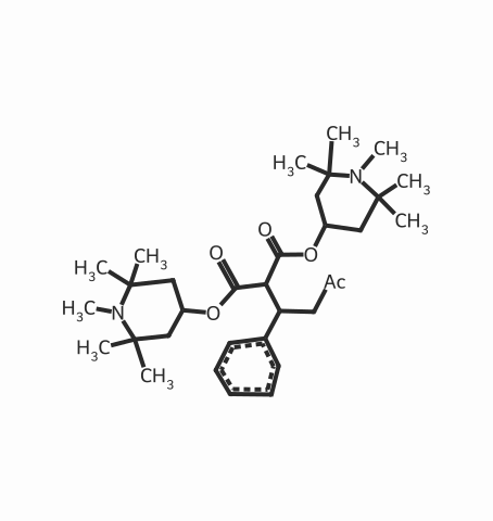 CC(=O)CC(c1ccccc1)C(C(=O)OC1CC(C)(C)N(C)C(C)(C)C1)C(=O)OC1CC(C)(C)N(C)C(C)(C)C1